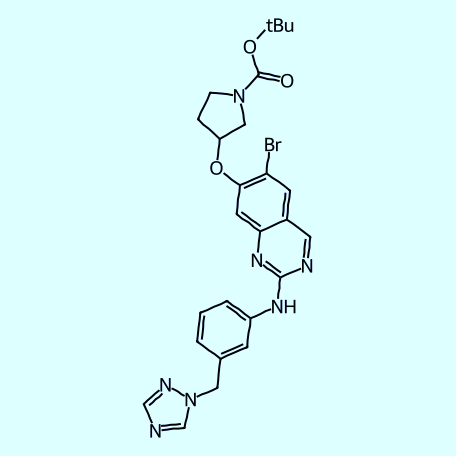 CC(C)(C)OC(=O)N1CCC(Oc2cc3nc(Nc4cccc(Cn5cncn5)c4)ncc3cc2Br)C1